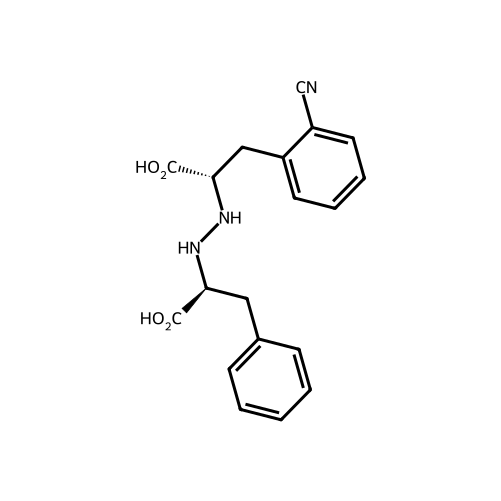 N#Cc1ccccc1C[C@H](NN[C@@H](Cc1ccccc1)C(=O)O)C(=O)O